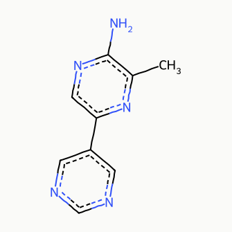 Cc1nc(-c2cncnc2)cnc1N